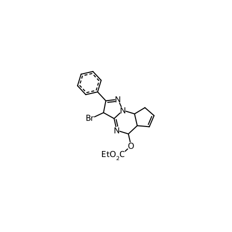 CCOC(=O)OC1N=C2C(Br)C(c3ccccc3)=NN2C2CC=CC12